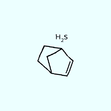 C1=CC2CCC1C2.S